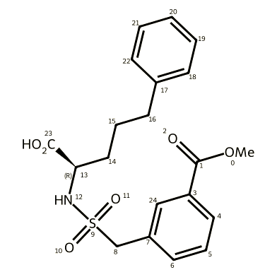 COC(=O)c1cccc(CS(=O)(=O)N[C@H](CCCc2ccccc2)C(=O)O)c1